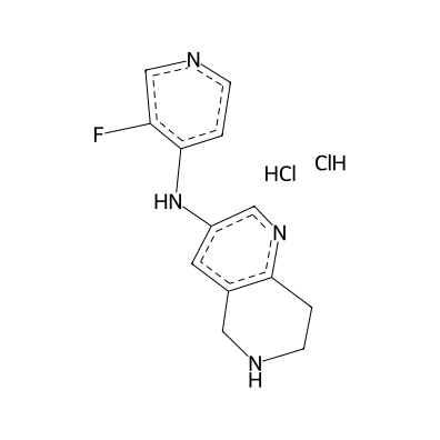 Cl.Cl.Fc1cnccc1Nc1cnc2c(c1)CNCC2